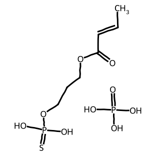 CC=CC(=O)OCCCOP(O)(O)=S.O=P(O)(O)O